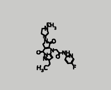 CCc1cc2n(CC(=O)Nc3ccc(F)cn3)c3c(c(=O)n2n1)CN([C@H]1CCN(C)C1)C3=O